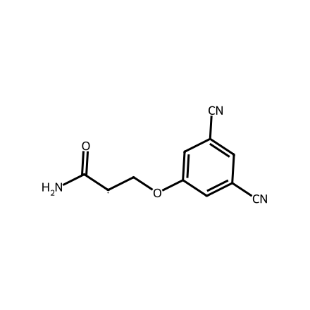 N#Cc1cc(C#N)cc(OC[CH]C(N)=O)c1